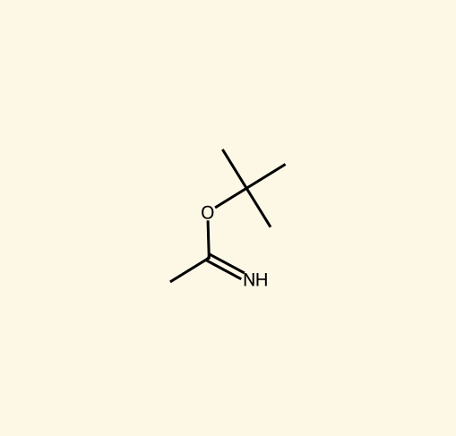 CC(=N)OC(C)(C)C